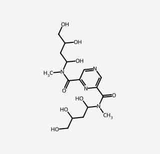 CN(C(=O)c1cncc(C(=O)N(C)C(O)CC(O)CO)n1)C(O)CC(O)CO